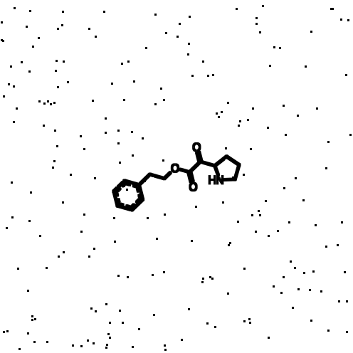 O=C(OCCc1ccccc1)C(=O)C1CCCN1